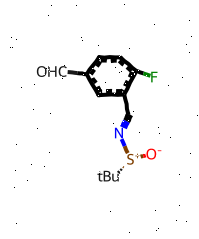 CC(C)(C)[S@@+]([O-])/N=C/c1cc(C=O)ccc1F